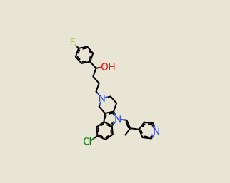 C/C(=C\n1c2c(c3cc(Cl)ccc31)CN(CCCC(O)c1ccc(F)cc1)CC2)c1ccncc1